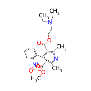 CCN(CC)CCOC(=O)c1c(C)nc(C)c(C(=O)OC)c1-c1ccccc1[N+](=O)[O-]